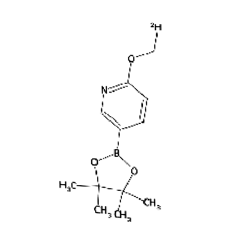 [2H]COc1ccc(B2OC(C)(C)C(C)(C)O2)cn1